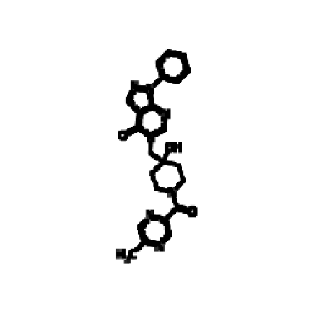 Cc1cnc(C(=O)N2CCC(O)(Cn3cnc4c(cnn4-c4ccccc4)c3=O)CC2)cn1